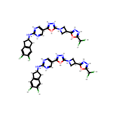 Fc1cc2c(cc1F)CC(Nc1ncc(-c3nnc(N4CC(c5nnc(C(F)F)o5)C4)o3)cn1)C2.Fc1cc2c(cc1F)CC(Nc1ncc(-c3nnc(N4CC(c5nnc(C(F)F)o5)C4)o3)cn1)C2